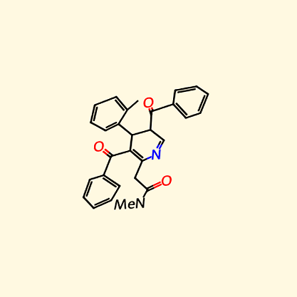 CNC(=O)CC1=C(C(=O)c2ccccc2)C(c2ccccc2C)C(C(=O)c2ccccc2)C=N1